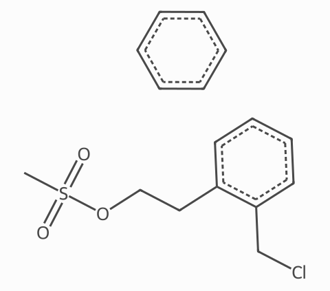 CS(=O)(=O)OCCc1ccccc1CCl.c1ccccc1